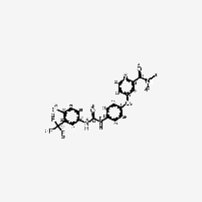 CN(F)C(=O)c1cc(Oc2ccc(NC(=O)Nc3ccc(Cl)c(C(F)(F)F)c3)cc2)ccn1